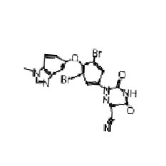 Cn1cnc2cc(Oc3c(Br)cc(-n4nc(C#N)c(=O)[nH]c4=O)cc3Br)ccc21